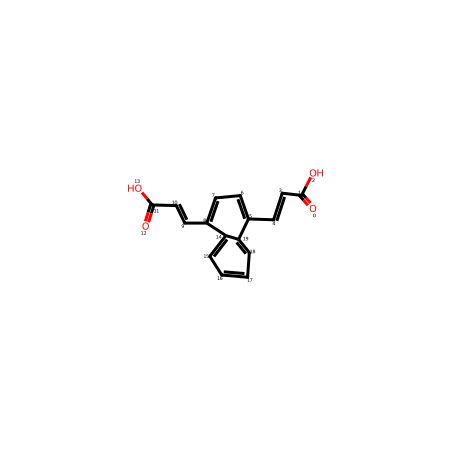 O=C(O)C=Cc1ccc(C=CC(=O)O)c2ccccc12